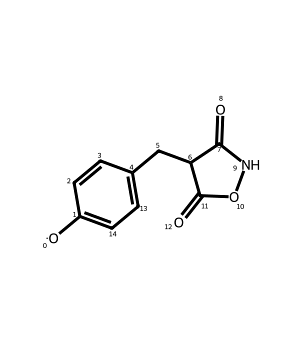 [O]c1ccc(CC2C(=O)NOC2=O)cc1